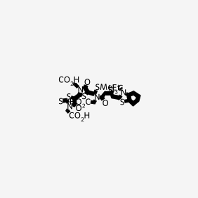 CC/C(C=C1Sc2ccccc2N1C)=C/C(=O)N(CC(=O)O)/C(SC)=c1\s/c(=C2/SC(=S)N(CC(=O)O)C2=O)n(CC(=O)O)c1=O